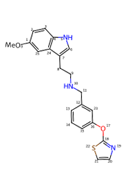 COc1ccc2[nH]cc(CCNCc3cccc(Oc4nccs4)c3)c2c1